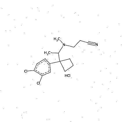 CC(N(C)CCC#N)C1(c2ccc(Cl)c(Cl)c2)CCC1.Cl